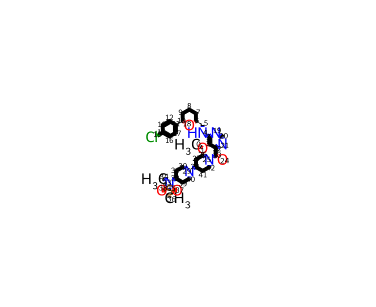 COc1c(NC[C@H]2CCC[C@@H](c3ccc(Cl)cc3)O2)ncnc1C(=O)N1CCC(N2CCC(N(C)S(C)(=O)=O)CC2)CC1